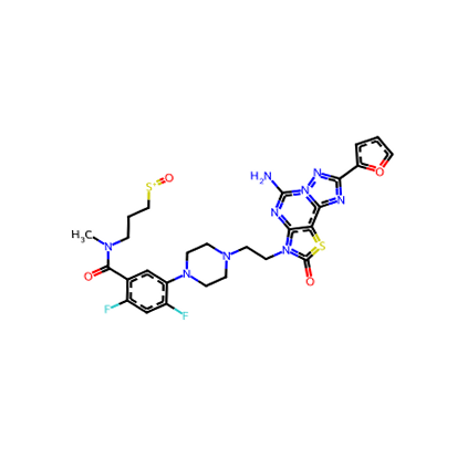 CN(CCC[S+]=O)C(=O)c1cc(N2CCN(CCn3c(=O)sc4c3nc(N)n3nc(-c5ccco5)nc43)CC2)c(F)cc1F